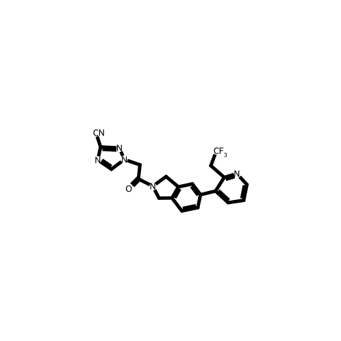 N#Cc1ncn(CC(=O)N2Cc3ccc(-c4cccnc4CC(F)(F)F)cc3C2)n1